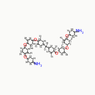 Cc1cc(Oc2c(C)cc(Oc3c(C)cc(C(C)(C)c4cc(C)c(Oc5cc(C)c(Oc6cc(C)c(Oc7ccc(N)cc7)c(C)c6)c(C)c5)c(C)c4)cc3C)cc2C)cc(C)c1Oc1ccc(N)cc1